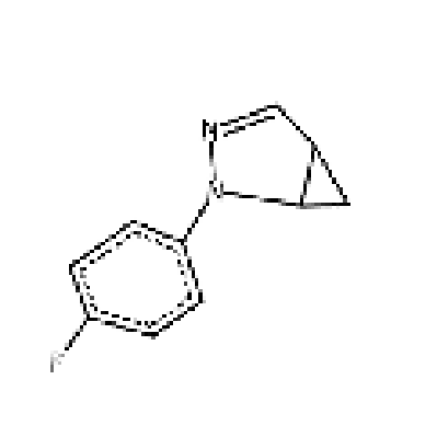 Fc1ccc(N2N=CC3CC32)cc1